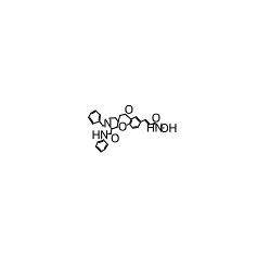 O=C(C=Cc1ccc2c(c1)C(=O)CC1(CCN(Cc3ccccc3)C(C(=O)Nc3ccccc3)C1)O2)NO